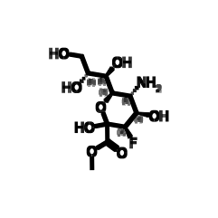 COC(=O)C1(O)O[C@@H]([C@H](O)[C@H](O)CO)[C@H](N)[C@@H](O)[C@H]1F